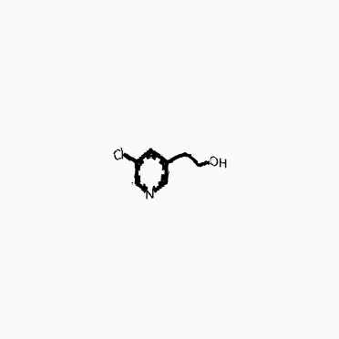 OCCc1cn[c]c(Cl)c1